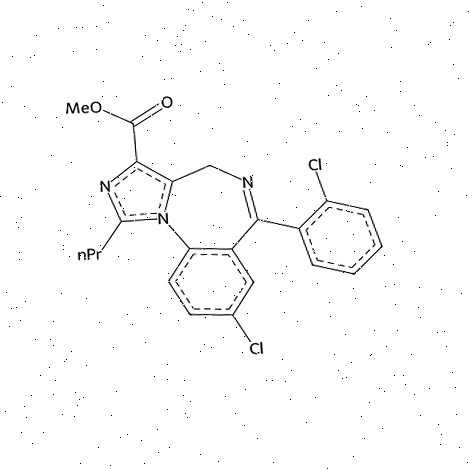 CCCc1nc(C(=O)OC)c2n1-c1ccc(Cl)cc1C(c1ccccc1Cl)=NC2